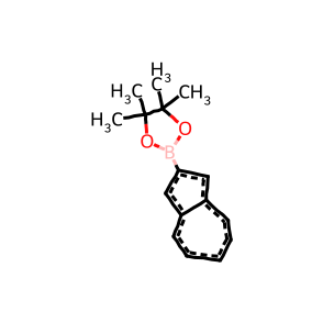 CC1(C)OB(c2cc3cccccc-3c2)OC1(C)C